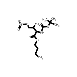 CCCCOC(=O)C(NC(=O)OC(C)(C)C)C(C)CO[N+](=O)[O-]